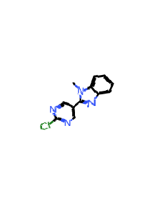 Cn1c(-c2cnc(Cl)nc2)nc2ccccc21